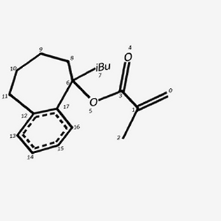 C=C(C)C(=O)OC1(C(C)CC)CCCCc2ccccc21